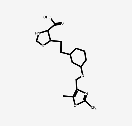 Cc1oc(C(F)(F)F)nc1COC1CCCC(CCC2SCNC2C(=O)C=O)C1